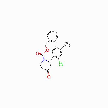 O=C1CCN(C(=O)OCc2ccccc2)C(c2ccc(C(F)(F)F)cc2Cl)C1